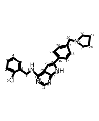 Clc1ccccc1CNc1ncnc2[nH]c(-c3ccc(CN4CCCC4)cc3)cc12